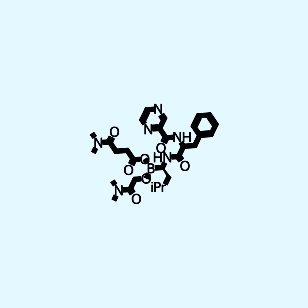 CC(C)C[C@H](NC(=O)C(Cc1ccccc1)NC(=O)c1cnccn1)B(OCC(=O)N(C)C)OC(=O)CCC(=O)N(C)C